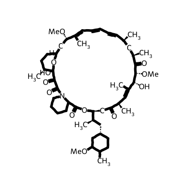 COC1C[C@H](C[C@@H](C)[C@@H]2CC(=O)[C@H](C)/C=C(\C)[C@@H](O)[C@@H](OC)C(=O)[C@H](C)C[C@H](C)/C=C/C=C/C=C(\C)[C@@H](OC)C[C@@H]3CC[C@@H](C)[C@@](O)(O3)C(=O)C(=O)N3CCCCC3C(=O)O2)CCC1C